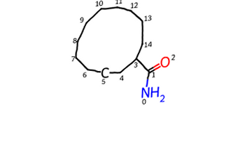 NC(=O)C1CCCCCCCCCCC1